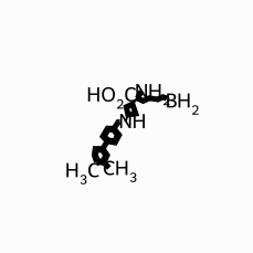 BCCCCC(N)(C(=O)O)[C@H]1C[C@@H](NCc2ccc(-c3ccc(C)c(C)c3)cc2)C1